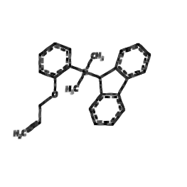 C=CCOc1ccccc1[Si](C)(C)C1c2ccccc2-c2ccccc21